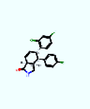 O=C1NC[C@@H]2[C@H](c3ccc(Cl)cc3)[C@@H](c3ccc(Cl)cc3Cl)C=C[C@H]12